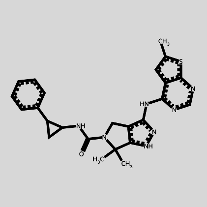 Cc1cc2c(Nc3n[nH]c4c3CN(C(=O)NC3CC3c3ccccc3)C4(C)C)ncnc2s1